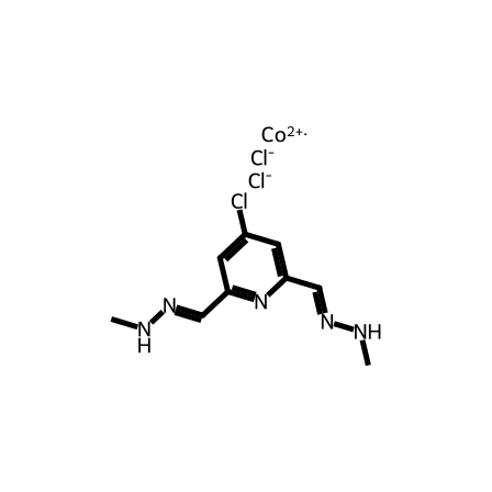 CNN=Cc1cc(Cl)cc(C=NNC)n1.[Cl-].[Cl-].[Co+2]